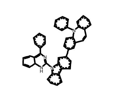 C1=CC2=C(c3ccccc3)N=C(n3c4ccccc4c4ccc(-c5ccc6c(c5)C=Cc5ccccc5N6c5ccccc5)cc43)NC2C=C1